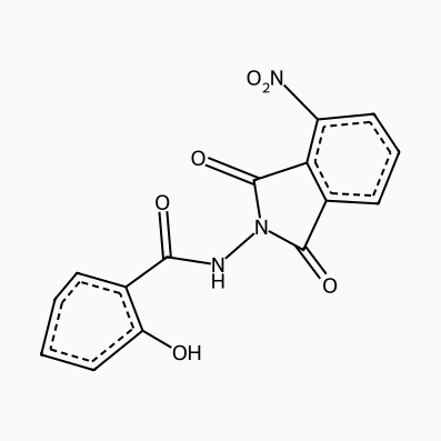 O=C(NN1C(=O)c2cccc([N+](=O)[O-])c2C1=O)c1ccccc1O